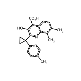 Cc1ccc(C2(c3nc4c(C)c(C)ccc4c(C(=O)O)c3O)CC2)cc1